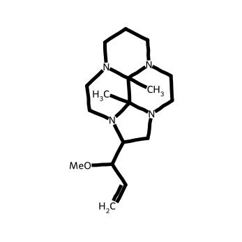 C=CC(OC)C1CN2CCN3CCCN4CCN1C2(C)C34C